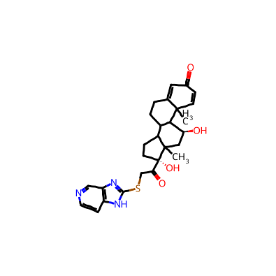 CC12C=CC(=O)C=C1CCC1C2[C@@H](O)CC2(C)C1CC[C@]2(O)C(=O)CSc1nc2cnccc2[nH]1